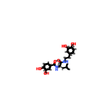 CC(C)C[C@H](NC(=O)c1ccc(O)c(O)c1)C(=O)NCCc1ccc(O)c(O)c1